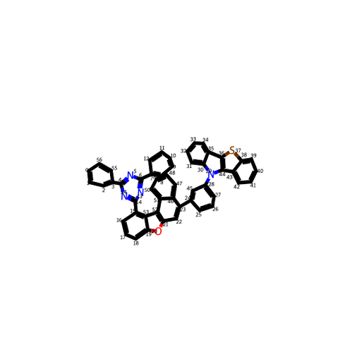 c1ccc(-c2nc(-c3ccccc3)nc(-c3cccc4oc5cc(-c6cccc(-n7c8ccccc8c8sc9ccccc9c87)c6)c6ccccc6c5c34)n2)cc1